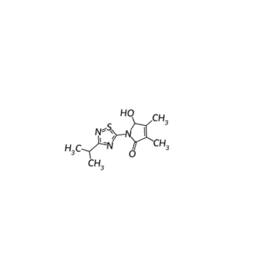 CC1=C(C)C(O)N(c2nc(C(C)C)ns2)C1=O